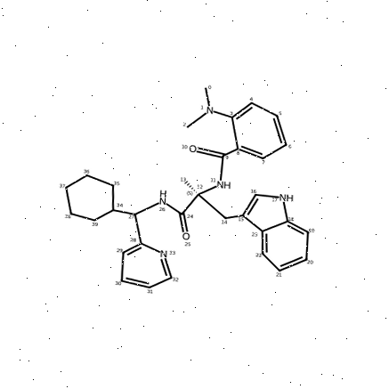 CN(C)c1ccccc1C(=O)N[C@@](C)(Cc1c[nH]c2ccccc12)C(=O)NC(c1ccccn1)C1CCCCC1